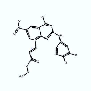 CCOC(=O)/C=C/c1cc([N+](=O)[O-])cc2c(O)nc(Nc3ccc(Cl)c(Cl)c3)nc12